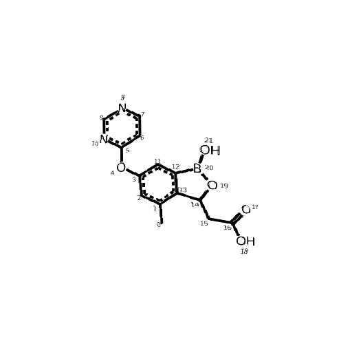 Cc1cc(Oc2ccncn2)cc2c1C(CC(=O)O)OB2O